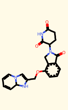 O=C1CCC(N2Cc3c(OCC4=CN5C=CC=CC5N4)cccc3C2=O)C(=O)N1